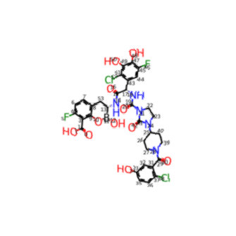 O=C(O)c1c(F)ccc2c1OB(O)[C@@H](NC(=O)[C@@H](NC(=O)N1CCN(C3CCN(C(=O)c4cc(O)ccc4Cl)CC3)C1=O)c1cc(F)c(O)c(O)c1Cl)C2